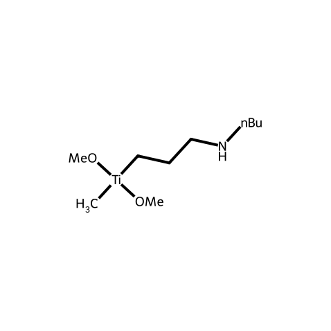 CCCCNCC[CH2][Ti]([CH3])([O]C)[O]C